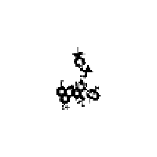 C#Cc1c(F)ccc2cc(O)cc(-c3cc4nc(OCC5(CN6CCC7(CC6)CC7(F)F)CC5)nc(N5C[C@H]6CC[C@@H](C5)N6)c4c4cn(C)nc34)c12